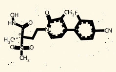 Cc1c(-c2ccc(C#N)cc2F)ccn(CC[C@](C)(C(=O)NO)S(C)(=O)=O)c1=O